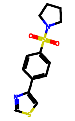 O=S(=O)(c1ccc(-c2cs[c]n2)cc1)N1CCCC1